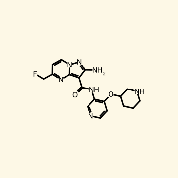 Nc1nn2ccc(CF)nc2c1C(=O)Nc1cnccc1OC1CCCNC1